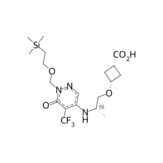 C[C@@H](CO[C@H]1C[C@@H](C(=O)O)C1)Nc1cnn(COCC[Si](C)(C)C)c(=O)c1C(F)(F)F